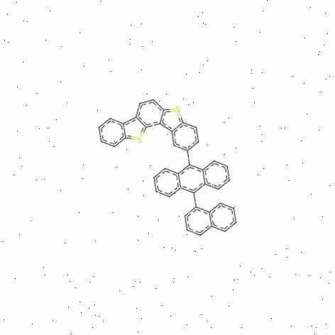 c1ccc2c(-c3c4ccccc4c(-c4ccc5sc6ccc7c8ccccc8sc7c6c5c4)c4ccccc34)cccc2c1